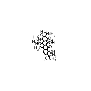 CC1c2ccc(C(C)(C)C)c(O)c2C(=O)C2=C(O)C3(O)C(=O)C(C(N)=O)=C(O)C(N(C)C)C3C(O)C21